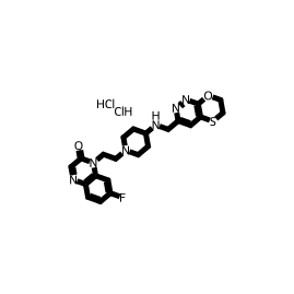 Cl.Cl.O=c1cnc2ccc(F)cc2n1CCN1CCC(NCc2cc3c(nn2)OCCS3)CC1